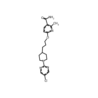 Cc1nc(OCCCC2CCN(c3ncc(Cl)cn3)CC2)ccc1C(N)=O